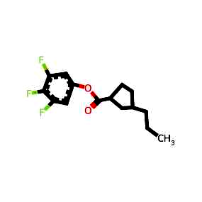 CCCC1CCC(C(=O)Oc2cc(F)c(F)c(F)c2)C1